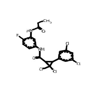 CCC(=O)Nc1cc(NC(=O)C2C(c3cc(Cl)cc(Cl)c3)C2(Cl)Cl)ccc1F